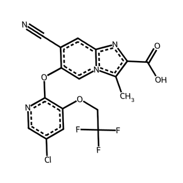 Cc1c(C(=O)O)nc2cc(C#N)c(Oc3ncc(Cl)cc3OCC(F)(F)F)cn12